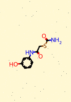 NC(=O)SCC(=O)Nc1cccc(O)c1